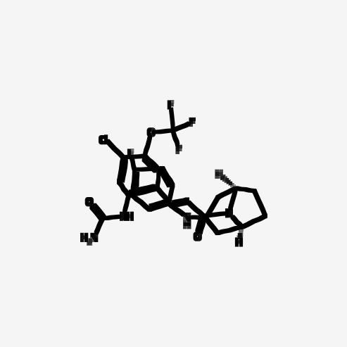 NC(=O)Nc1cc(Cl)c(OC(F)(F)F)cc1C=CC(=O)N1[C@@H]2CC[C@H]1CC(Nc1ccc(F)cc1)C2